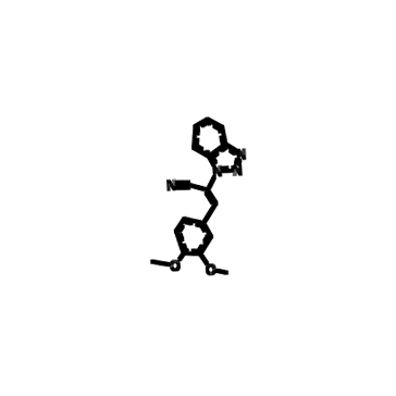 COc1ccc(C=C(C#N)n2nnc3ccccc32)cc1OC